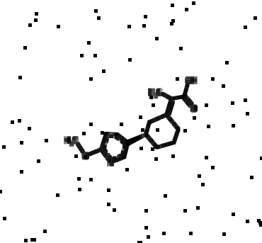 COc1ccc([C@@H]2CCC/C(=C(/C)C(=O)O)C2)cn1